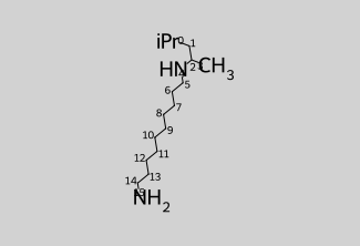 CC(C)CC(C)NCCCCCCCCCCN